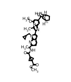 COC(=O)C12CC(C(=O)N[C@H](C)c3ccc4cc(-c5nc6cc(C(=O)N7[C@H]8CC[C@@H]7[C@H](N)C8)cc(OC)n6c5C)n(CC5CC5)c4n3)(C1)C2